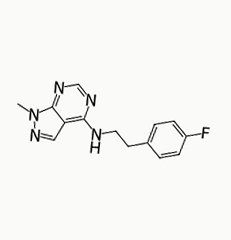 Cn1ncc2c(NCCc3ccc(F)cc3)ncnc21